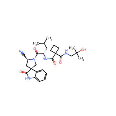 CC(C)C[C@H](NC(=O)C1(C(=O)NCC(C)(C)O)CCC1)C(=O)N1C[C@]2(C[C@H]1C#N)C(=O)Nc1ccccc12